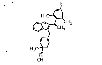 C=C(c1sc2ccccc2c1CC1=CCC(C)(/C=C/C)C=C1)c1c(C)cc(F)cc1C